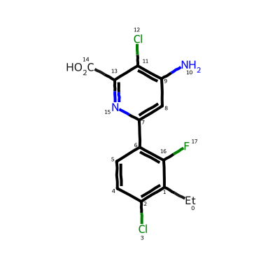 CCc1c(Cl)ccc(-c2cc(N)c(Cl)c(C(=O)O)n2)c1F